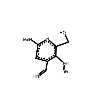 CCCNc1c(C=N)cc(NC)nc1CO